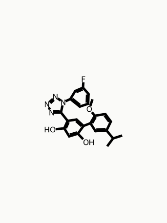 COc1ccc(C(C)C)cc1-c1cc(-c2nnnn2-c2cccc(F)c2)c(O)cc1O